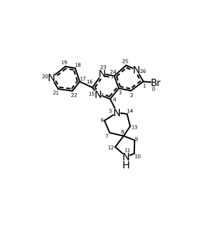 Brc1cc2c(N3CCC4(CCNC4)CC3)nc(-c3ccncc3)nc2cn1